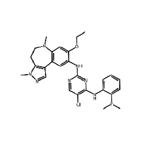 CCOc1cc2c(cc1Nc1ncc(Cl)c(Nc3ccccc3P(C)C)n1)-c1cnn(C)c1CCN2C